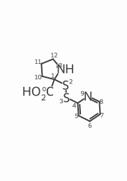 O=C(O)C1(SSc2ccccn2)CCCN1